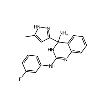 Cc1cc(C2(N)NC(Nc3cccc(F)c3)=Nc3ccccc32)n[nH]1